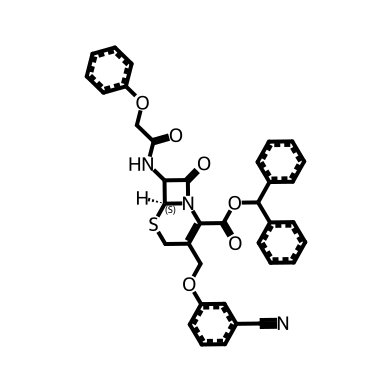 N#Cc1cccc(OCC2=C(C(=O)OC(c3ccccc3)c3ccccc3)N3C(=O)C(NC(=O)COc4ccccc4)[C@@H]3SC2)c1